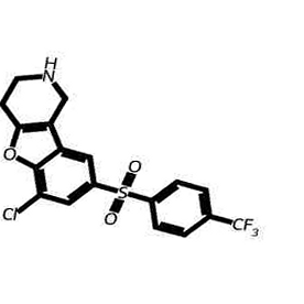 O=S(=O)(c1ccc(C(F)(F)F)cc1)c1cc(Cl)c2oc3c(c2c1)CNCC3